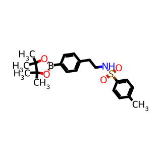 Cc1ccc(S(=O)(=O)NCCc2ccc(B3OC(C)(C)C(C)(C)O3)cc2)cc1